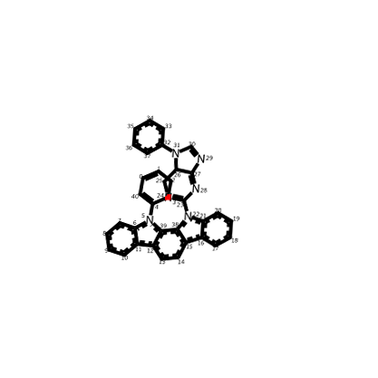 C1=CCCC(n2c3ccccc3c3ccc4c5ccccc5n(C5=NCC6C(=N5)N=CN6c5ccccc5)c4c32)=C1